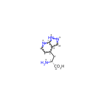 N[C@H](Cc1ccnc2[nH]ncc12)C(=O)O